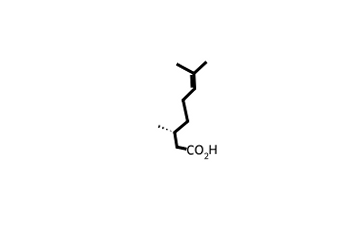 CC(C)=CCC[C@@H](C)CC(=O)O